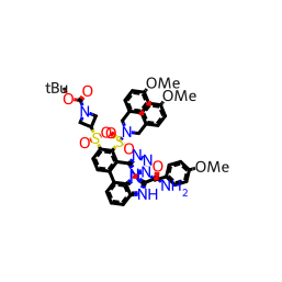 COc1ccc(CN(Cc2ccc(OC)cc2)S(=O)(=O)c2c(S(=O)(=O)C3CN(C(=O)OC(C)(C)C)C3)ccc(-c3cccc4[nH]c(C(N)=O)nc34)c2-c2nnn(Cc3ccc(OC)cc3)n2)cc1